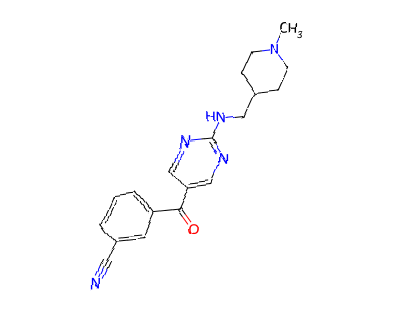 CN1CCC(CNc2ncc(C(=O)c3cccc(C#N)c3)cn2)CC1